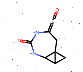 O=C=C1CC23CC2C3NC(=O)N1